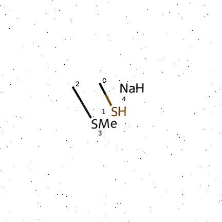 CS.CSC.[NaH]